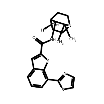 CC1(C)[C@H](NC(=O)c2cc3cccc(-c4nccs4)c3s2)C2CCN1CC2